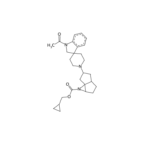 CC(=O)N1CC2(CCN(C3CC4CCC5N(C(=O)OCC6CC6)C45C3)CC2)c2ccccc21